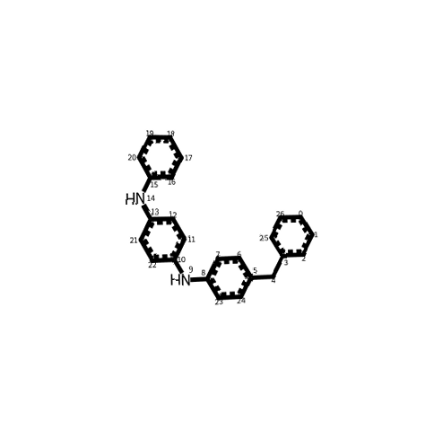 c1ccc(Cc2ccc(Nc3ccc(Nc4ccccc4)cc3)cc2)cc1